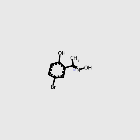 C/C(=N\O)c1cc(Br)ccc1O